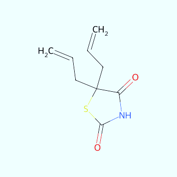 C=CCC1(CC=C)SC(=O)NC1=O